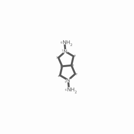 NN1CC2CN(N)CC2C1